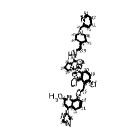 Cc1cc(-n2cncn2)c2cccc(OCc3c(Cl)ccc(S(=O)(=O)N4CCC[C@H]4C(=O)NCC4CCN(Cc5ccccn5)CC4)c3Cl)c2n1